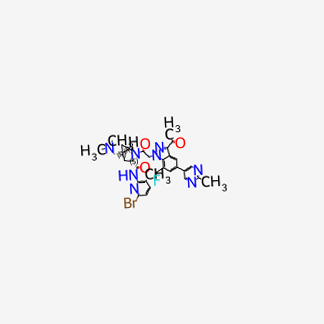 CC(=O)c1nn(CC(=O)N2[C@H](C(=O)Nc3nc(Br)ccc3C)C[C@@]3(CN(C)C)C[C@@H]23)c2c(CF)cc(-c3cnc(C)nc3)cc12